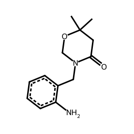 CC1(C)CC(=O)N(Cc2ccccc2N)CO1